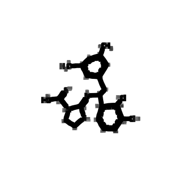 Cc1cc(C)cc(CC(N=C2SCCN2C(O)=S)c2cccc(Cl)c2Cl)c1